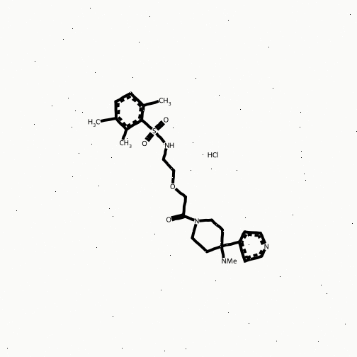 CNC1(c2ccncc2)CCN(C(=O)COCCNS(=O)(=O)c2c(C)ccc(C)c2C)CC1.Cl